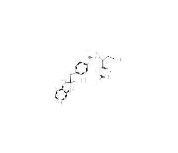 CCc1nnc(C(CC(C)C)N(C)S(=O)(=O)c2ccc(CC3(C)N=c4ccncc4=N3)cc2)o1